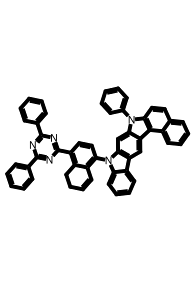 C1=Cc2c(-n3c4ccccc4c4cc5c6c7ccccc7ccc6n(-c6ccccc6)c5cc43)ccc(-c3nc(-c4ccccc4)nc(-c4ccccc4)n3)c2CC1